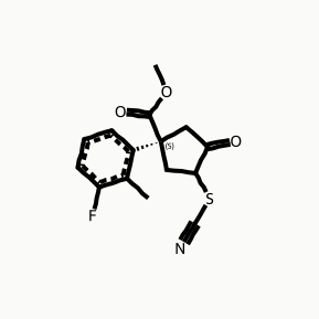 COC(=O)[C@@]1(c2cccc(F)c2C)CC(=O)C(SC#N)C1